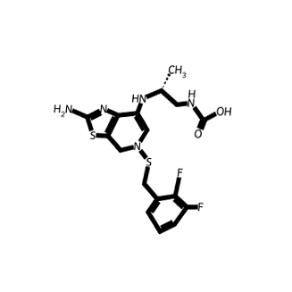 C[C@H](CNC(=O)O)NC1=CN(SCc2cccc(F)c2F)Cc2sc(N)nc21